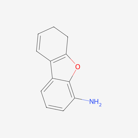 Nc1cccc2c3c(oc12)CCC=C3